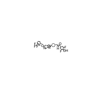 O=C(NCC1CCC(n2cc3cc(OCc4cccc(C(F)(F)F)n4)ncc3n2)CC1)c1cc(F)c(O)c(F)c1